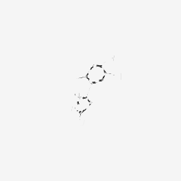 Cc1cc(-c2cc(Cl)c(O)cc2O)n[nH]1